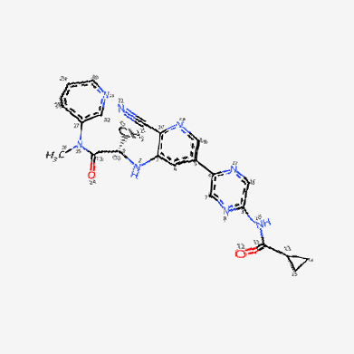 C[C@H](Nc1cc(-c2cnc(NC(=O)C3CC3)cn2)cnc1C#N)C(=O)N(C)c1cccnc1